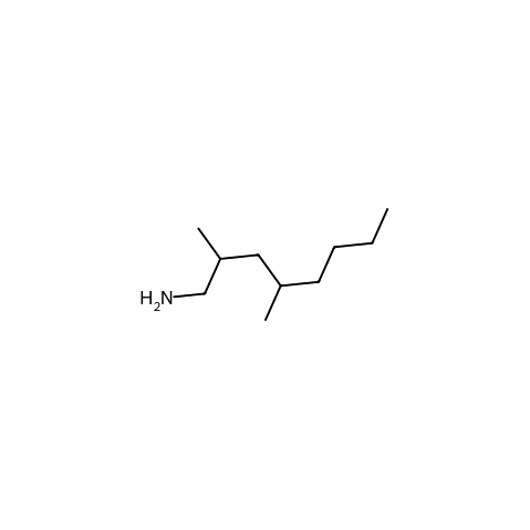 CCCCC(C)CC(C)CN